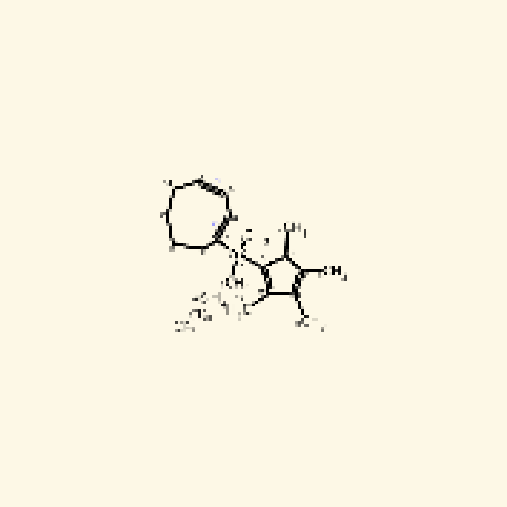 CC1=C(C)C(C)[C]([Zr+2]([CH3])([CH3])/[C]2=C/C=C\CCCC2)=C1C.[Cl-].[Cl-].[SiH4]